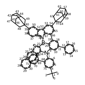 CC(C)(C)c1ccc(N2c3cc(-c4ccccc4)cc4c3B(c3sc5cc6ccccc6cc5c32)n2c3ccc(C56CC7CC(CC(C7)C5)C6)cc3c3cc(C56CC7CC(CC(C7)C5)C6)cc-4c32)c(-c2ccccc2)c1